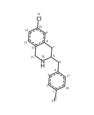 Fc1ccc(CC2Cc3cc(Cl)ccc3CN2)cc1